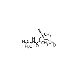 CC(C)NC(=O)C(C)CC(C)(C#N)CCOC=O